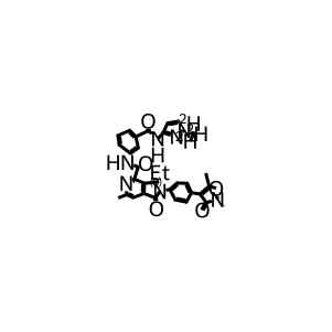 [2H]C([2H])([2H])n1ccc(NC(=O)c2cccc(NC(=O)c3nc(C)cc4c3[C@@H](CC)N(c3ccc(-c5c(C)on(C)c5=O)cc3)C4=O)c2)n1